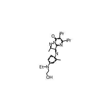 CCN(CCO)c1ccc(N=C2C(C)=Nn3c2nc(C(C)C)c(C(C)C)c3=O)c(C)c1